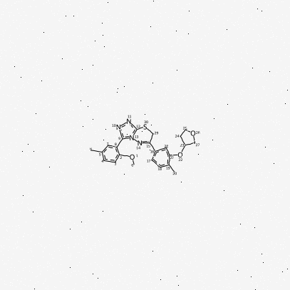 COc1ccc(C)cc1-c1nnc2n1N=C(c1ccc(C)c(OC3CCOC3)c1)CS2